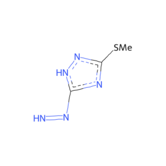 CSc1n[nH]c(N=N)n1